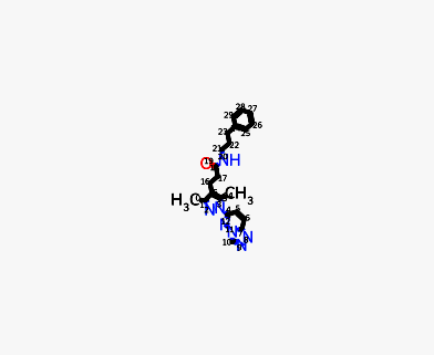 Cc1nn(-c2ccc3nncn3n2)c(C)c1CCC(=O)NCCCc1ccccc1